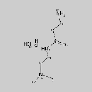 CN(C)CCNC(=O)CCN.Cl.Cl